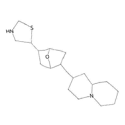 C1CCN2CCC(C3CC4OC3CC4C3CNCS3)CC2C1